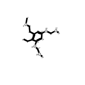 CCc1c(CCOC)cc(OCOC)cc1OCOC